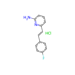 Cl.Nc1cccc(C=Cc2ccc(F)cc2)n1